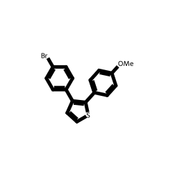 COc1ccc(-c2sccc2-c2ccc(Br)cc2)cc1